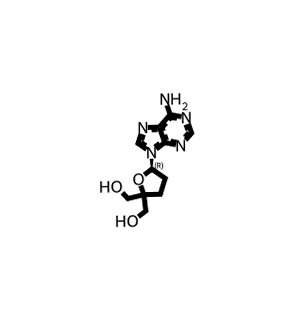 Nc1ncnc2c1ncn2[C@H]1CCC(CO)(CO)O1